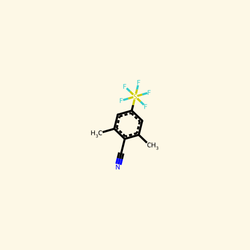 Cc1cc(S(F)(F)(F)(F)F)cc(C)c1C#N